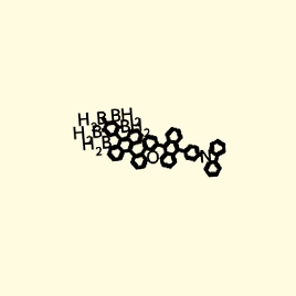 Bc1c(B)c(B)c(-c2c3ccccc3c(-c3cccc4oc5c(-c6c7ccccc7c(-c7ccc(-n8c9ccccc9c9ccccc98)cc7)c7ccccc67)cccc5c34)c3ccccc23)c(B)c1B